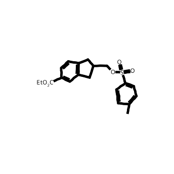 CCOC(=O)c1ccc2c(c1)CC(COS(=O)(=O)c1ccc(C)cc1)C2